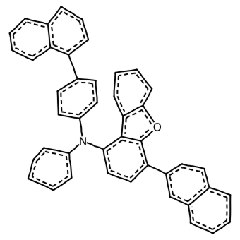 c1ccc(N(c2ccc(-c3cccc4ccccc34)cc2)c2ccc(-c3ccc4ccccc4c3)c3oc4ccccc4c23)cc1